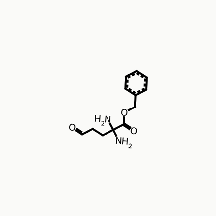 NC(N)(CCC=O)C(=O)OCc1ccccc1